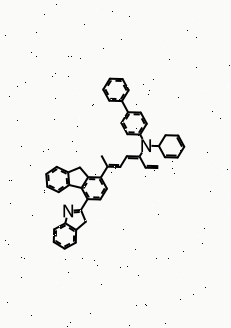 C=C/C(=C\C=C(/C)c1ccc(C2=Nc3ccccc3C2)c2c1Cc1ccccc1-2)N(c1ccc(-c2ccccc2)cc1)C1C=CC=CC1